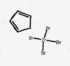 [Br][Zr]([Br])([Br])[Br].[CH]1C=CC=C1